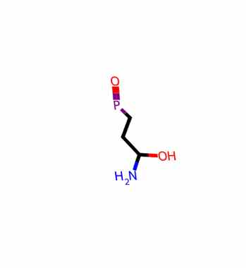 NC(O)CCP=O